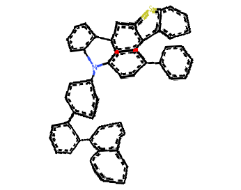 c1ccc(-c2ccc(N(c3ccc(-c4ccccc4-c4cccc5ccccc45)cc3)c3ccccc3-c3ccc4c(c3)sc3ccccc34)cc2)cc1